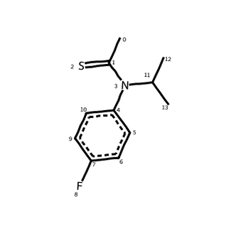 CC(=S)N(c1ccc(F)cc1)C(C)C